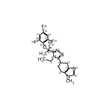 CCn1c(C2CCc3c(ncn3C)C2)nnc1C(C)(C)Oc1c(F)cc(F)cc1F